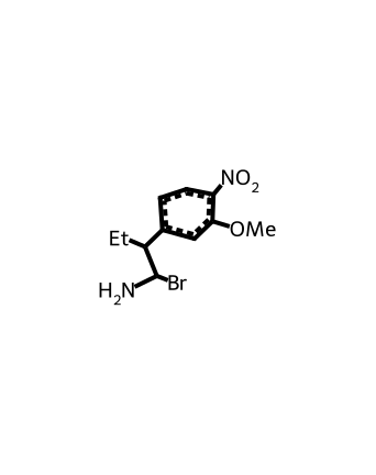 CCC(c1ccc([N+](=O)[O-])c(OC)c1)C(N)Br